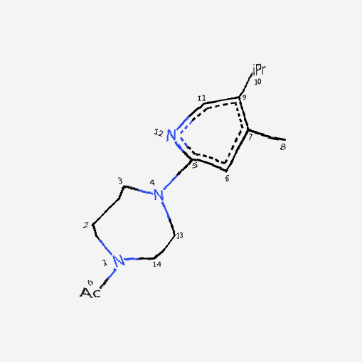 CC(=O)N1CCN(c2cc(C)c(C(C)C)cn2)CC1